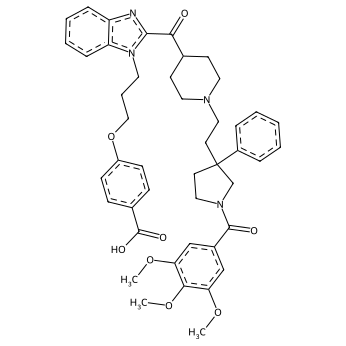 COc1cc(C(=O)N2CCC(CCN3CCC(C(=O)c4nc5ccccc5n4CCCOc4ccc(C(=O)O)cc4)CC3)(c3ccccc3)C2)cc(OC)c1OC